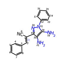 N#C/C(=C\c1ccccc1)c1nn(-c2ccccc2)c(N)c1N